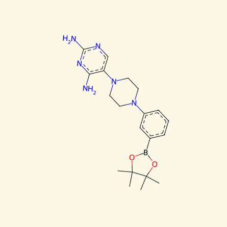 CC1(C)OB(c2cccc(N3CCN(c4cnc(N)nc4N)CC3)c2)OC1(C)C